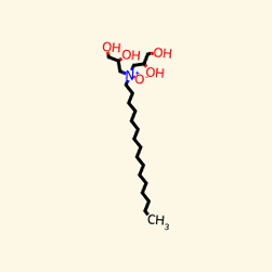 CCCCCCCCCCCCCCCC[N+]([O-])(CC(O)CO)CC(O)CO